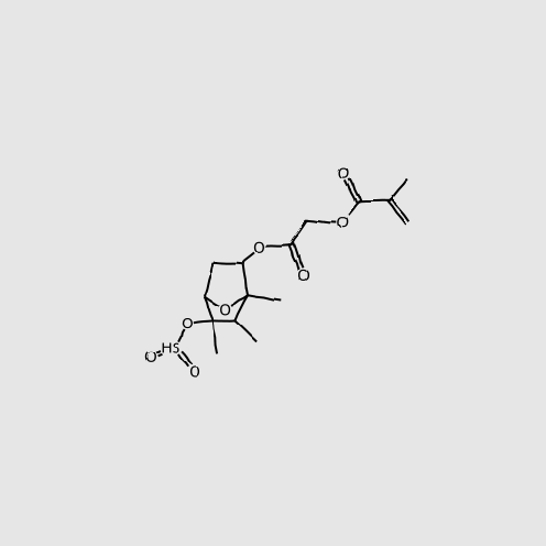 C=C(C)C(=O)OCC(=O)OC1CC2OC1(C)C(C)C2(C)O[SH](=O)=O